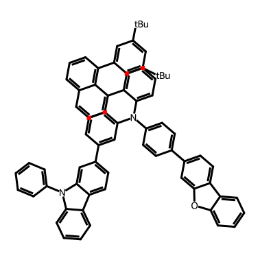 CC(C)(C)c1cc(-c2cccc3cccc(-c4ccccc4N(c4ccc(-c5ccc6c(c5)oc5ccccc56)cc4)c4cccc(-c5ccc6c7ccccc7n(-c7ccccc7)c6c5)c4)c23)cc(C(C)(C)C)c1